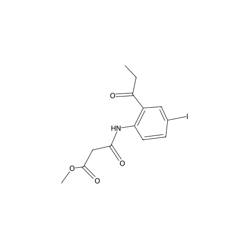 CCC(=O)c1cc(I)ccc1NC(=O)CC(=O)OC